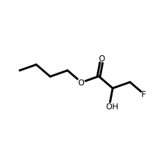 CCCCOC(=O)C(O)CF